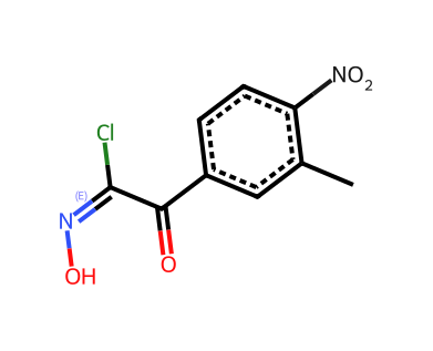 Cc1cc(C(=O)/C(Cl)=N\O)ccc1[N+](=O)[O-]